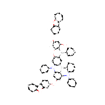 c1ccc(N2c3ccccc3B3c4cc5c(cc4N(c4ccccc4)c4cc(Oc6ccc7c(c6)oc6ccccc67)cc2c43)Oc2cc(Oc3ccc4c(c3)oc3ccccc34)cc3c2B5c2ccccc2O3)cc1